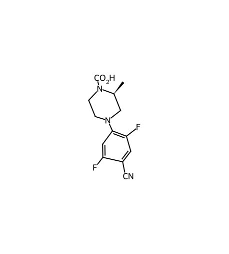 C[C@H]1CN(c2cc(F)c(C#N)cc2F)CCN1C(=O)O